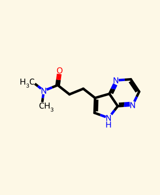 CN(C)C(=O)CCc1c[nH]c2nccnc12